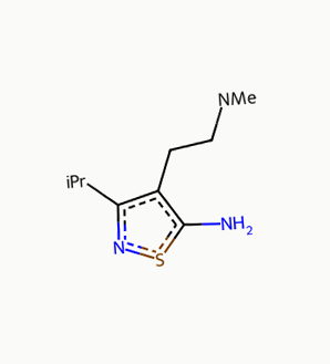 CNCCc1c(C(C)C)nsc1N